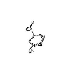 CCOc1cnc[n+]([O-])c1